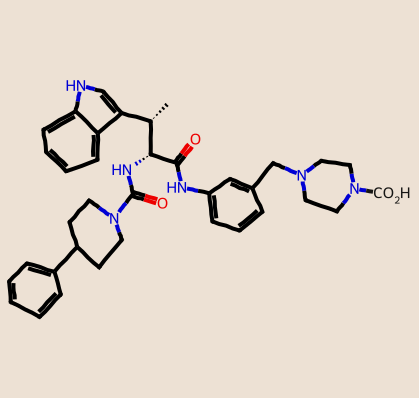 C[C@@H](c1c[nH]c2ccccc12)[C@@H](NC(=O)N1CCC(c2ccccc2)CC1)C(=O)Nc1cccc(CN2CCN(C(=O)O)CC2)c1